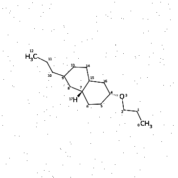 CCCO[C@@H]1CC[C@@H]2CC(CCC)CCC2C1